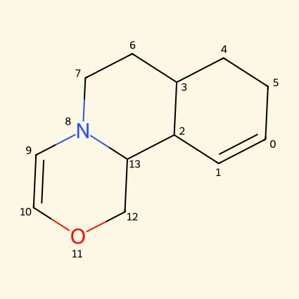 C1=CC2C(CC1)CCN1C=COCC21